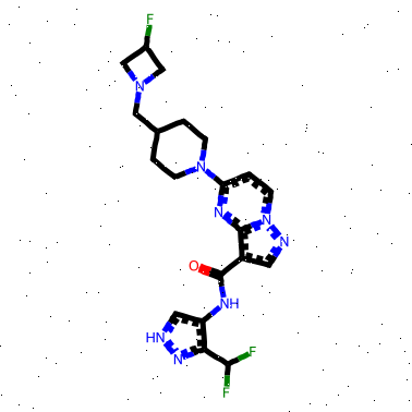 O=C(Nc1c[nH]nc1C(F)F)c1cnn2ccc(N3CCC(CN4CC(F)C4)CC3)nc12